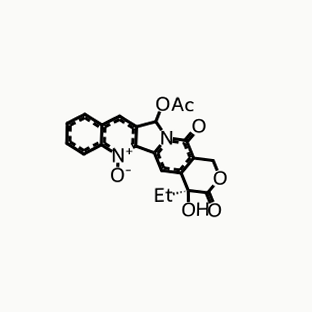 CC[C@@]1(O)C(=O)OCc2c1cc1n(c2=O)C(OC(C)=O)c2cc3ccccc3[n+]([O-])c2-1